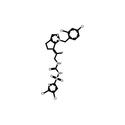 O=C(NC/C(F)=C1\CCc2cnn(Cc3ccc(Cl)cc3Cl)c21)NS(=O)(=O)c1cc(Cl)c(Cl)s1